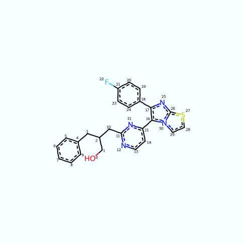 OCC(Cc1ccccc1)Cc1nccc(-c2c(-c3ccc(F)cc3)nc3sccn23)n1